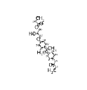 C=CC(=O)Cc1ccc(C(C)(C)c2ccc(OCC(O)COC(=O)C=C)cc2)cc1